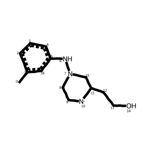 Cc1cccc(NN2CC[N]C(CCO)C2)c1